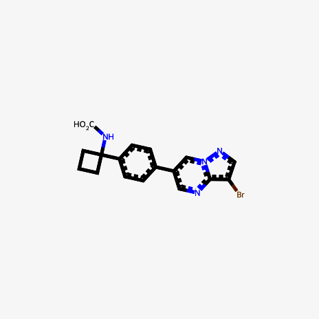 O=C(O)NC1(c2ccc(-c3cnc4c(Br)cnn4c3)cc2)CCC1